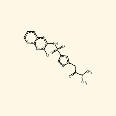 CN(C)C(=O)Cn1cc(S(=O)(=O)Nc2nc3ccccc3nc2Cl)cn1